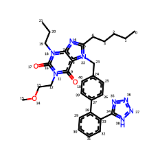 CCCCCc1nc2c(c(=O)n(CCOC)c(=O)n2CCC)n1Cc1ccc(-c2ccccc2-c2nnn[nH]2)cc1